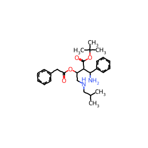 CC(C)CNCC(OC(=O)Cc1ccccc1)C(C(=O)OC(C)(C)C)C(N)c1ccccc1